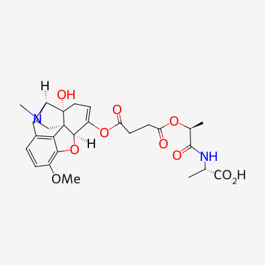 COc1ccc2c3c1O[C@@H]1C(OC(=O)CCC(=O)O[C@@H](C)C(=O)N[C@@H](C)C(=O)O)=CC[C@]4(O)[C@H](C2)N(C)CC[C@@]314